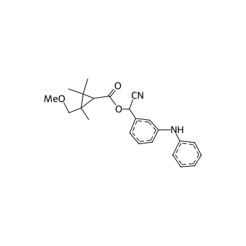 COCC1(C)C(C(=O)OC(C#N)c2cccc(Nc3ccccc3)c2)C1(C)C